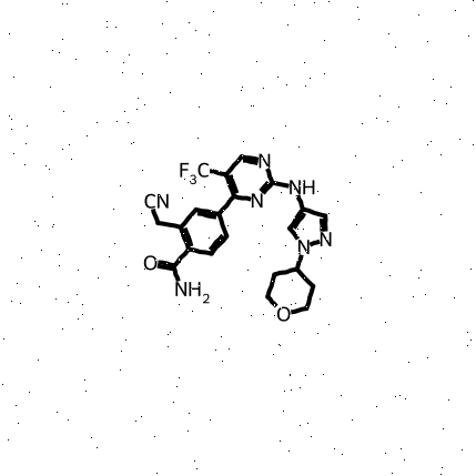 N#CCc1cc(-c2nc(Nc3cnn(C4CCOCC4)c3)ncc2C(F)(F)F)ccc1C(N)=O